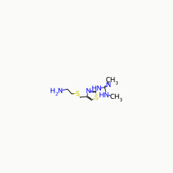 C/N=C(/NC)Nc1nc(CSCCN)cs1